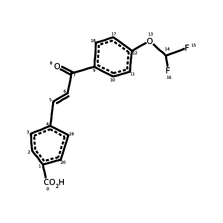 O=C(O)c1ccc(/C=C/C(=O)c2ccc(OC(F)F)cc2)cc1